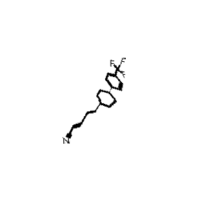 N#C/C=C/CC[C@H]1CC[C@H](c2ccc(C(F)(F)F)cc2)CC1